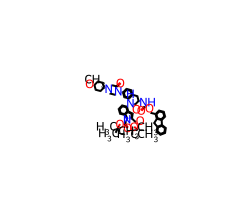 COC1CCC(N2CCN(c3ccc(CC(NC(=O)OCc4cccc5c4Cc4ccccc4-5)C(=O)Nc4cccc5c4cc(C(=O)OC(C)(C)C)n5C(=O)OC(C)(C)C)cc3)C(=O)C2)CC1